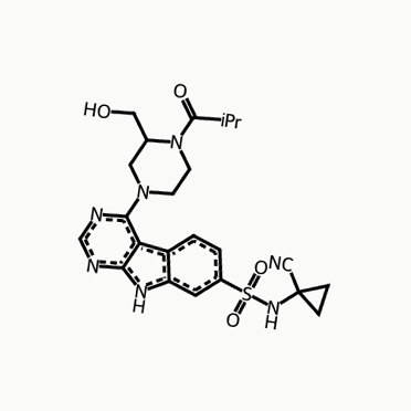 CC(C)C(=O)N1CCN(c2ncnc3[nH]c4cc(S(=O)(=O)NC5(C#N)CC5)ccc4c23)CC1CO